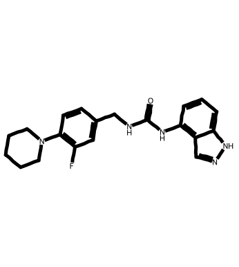 O=C(NCc1ccc(N2CCCCC2)c(F)c1)Nc1cccc2[nH]ncc12